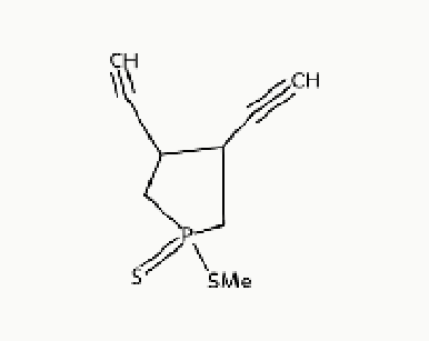 C#CC1CP(=S)(SC)CC1C#C